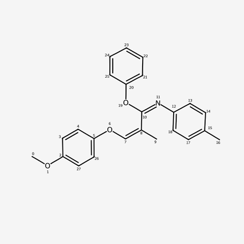 COc1ccc(OC=C(C)C(=Nc2ccc(C)cc2)Oc2ccccc2)cc1